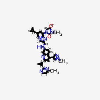 Cc1ccnc([C@H]2C[C@@H]2c2cc(-c3cnn(C)c3)c3ccc(NCc4cn5cc(C6CC6)cc(N6CC(=O)N(C)C6=O)c5n4)cc3n2)n1